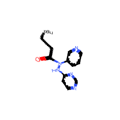 CC(C)(C)CCC(=O)N(Nc1ccncn1)c1cccnc1